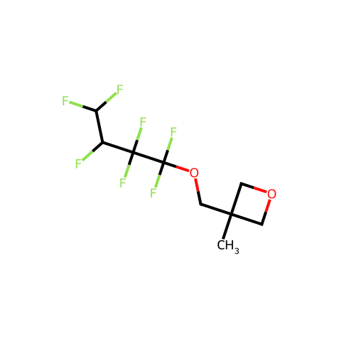 CC1(COC(F)(F)C(F)(F)C(F)C(F)F)COC1